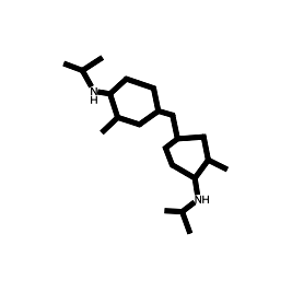 CC(C)NC1CCC(CC2CCC(NC(C)C)C(C)C2)CC1C